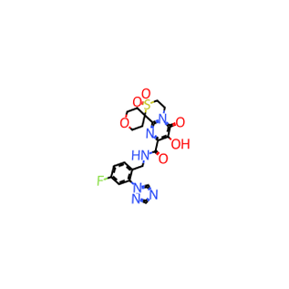 O=C(NCc1ccc(F)cc1-n1cncn1)c1nc2n(c(=O)c1O)CCS(=O)(=O)C21CCOCC1